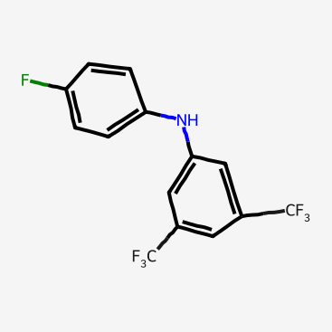 Fc1ccc(Nc2cc(C(F)(F)F)cc(C(F)(F)F)c2)cc1